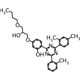 CCCCOCC(O)COc1ccc(-c2nc(-c3ccccc3C)nc(-c3ccc(C)cc3C)n2)c(O)c1